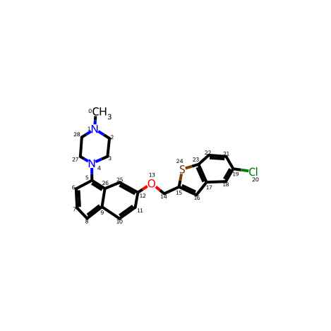 CN1CCN(c2cccc3ccc(OCc4cc5cc(Cl)ccc5s4)cc23)CC1